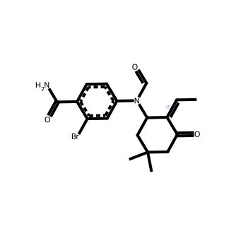 C/C=C1\C(=O)CC(C)(C)CC1N(C=O)c1ccc(C(N)=O)c(Br)c1